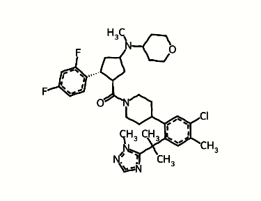 Cc1cc(C(C)(C)c2ncnn2C)c(C2CCN(C(=O)[C@@H]3CC(N(C)C4CCOCC4)C[C@H]3c3ccc(F)cc3F)CC2)cc1Cl